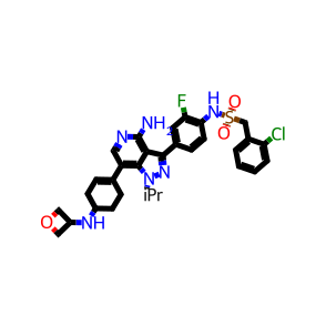 CC(C)n1nc(-c2ccc(NS(=O)(=O)Cc3ccccc3Cl)c(F)c2)c2c(N)ncc(C3=CCC(NC4COC4)CC3)c21